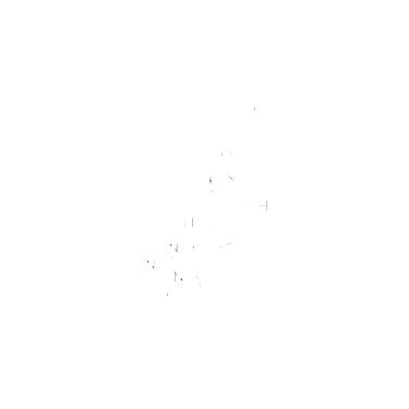 CCCCOC1=CC(C)C(C2C=C(C3(C)CC(=O)N(C)C(N)=N3)C=CC2)C=C1